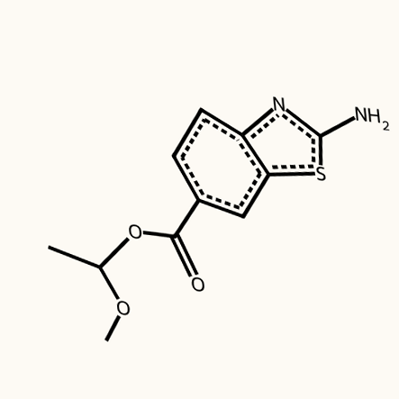 COC(C)OC(=O)c1ccc2nc(N)sc2c1